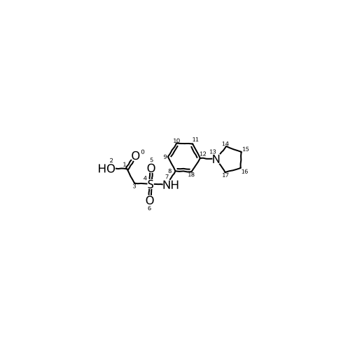 O=C(O)CS(=O)(=O)Nc1cccc(N2CCCC2)c1